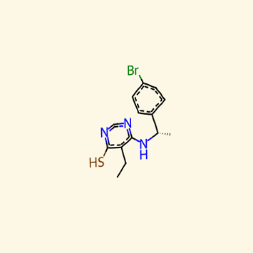 CCc1c(S)ncnc1N[C@@H](C)c1ccc(Br)cc1